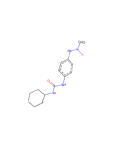 O=CN(I)Nc1ccc(NC(=O)NC2CCCCC2)cc1